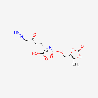 Cc1oc(=O)oc1COC(=O)N[C@@H](CCC(=O)C=[N+]=N)C(=O)O